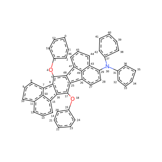 c1ccc(Oc2c3c4cccc5cccc(c3c(Oc3ccccc3)c3c6ccc(N(c7ccccc7)c7ccccc7)c7cccc(c23)c76)c54)cc1